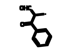 [CH2]C(C=O)C(=O)c1ccccc1